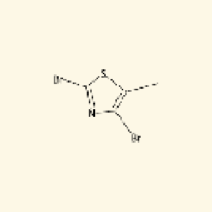 Cc1sc(Br)nc1Br